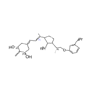 C=C1[C@H](O)CC(=C/C=C(\C)C2CCC([C@@H](C)COc3cccc(C(C)C)c3)C2CCC)C[C@H]1O